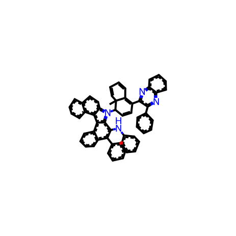 CC12C=CC=CC1=C(c1nc3ccccc3nc1-c1ccccc1)C=CC2n1c2ccc3ccccc3c2c2c3ccccc3c(-c3ccccc3)c(Nc3ccccc3)c21